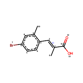 C/C(=C\c1ccc(Br)cc1C)C(=O)O